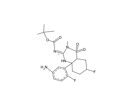 CN1/C(=N\C(=O)OC(C)(C)C)NC2(c3cc(N)ccc3F)CCC(F)CC2S1(=O)=O